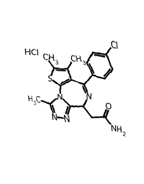 Cc1sc2c(c1C)C(c1ccc(Cl)cc1)=NC(CC(N)=O)c1nnc(C)n1-2.Cl